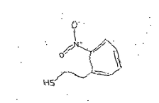 O=[N+]([O-])c1ccccc1C[CH]S